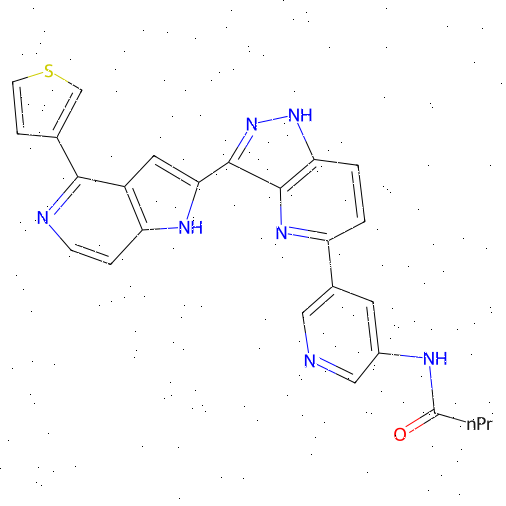 CCCC(=O)Nc1cncc(-c2ccc3[nH]nc(-c4cc5c(-c6ccsc6)nccc5[nH]4)c3n2)c1